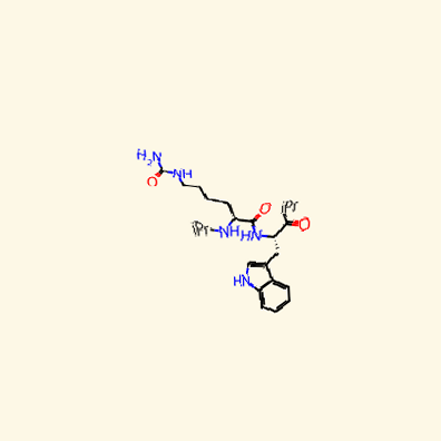 CC(C)N[C@@H](CCCCNC(N)=O)C(=O)N[C@@H](Cc1c[nH]c2ccccc12)C(=O)C(C)C